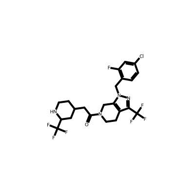 O=C(CC1CCNC(C(F)(F)F)C1)N1CCc2c(C(F)(F)F)nn(Cc3ccc(Cl)cc3F)c2C1